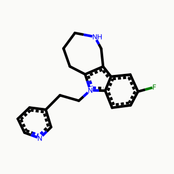 Fc1ccc2c(c1)c1c(n2CCc2cccnc2)CCCNC1